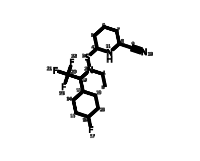 CCN(SC1CCCC(C#N)N1)C(C1CCC(F)CC1)C(F)(F)F